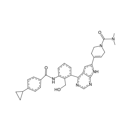 CN(C)C(=O)N1CC=C(c2cc3c(-c4cccc(NC(=O)c5ccc(C6CC6)cc5)c4CO)ncnc3[nH]2)CC1